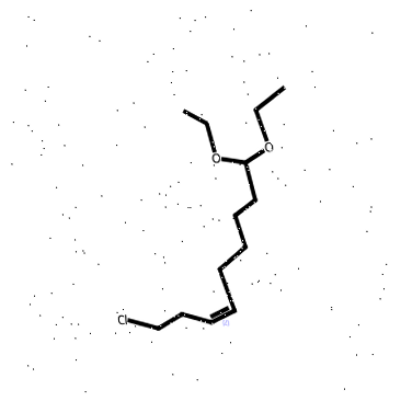 CCOC(CCCC/C=C\CCCl)OCC